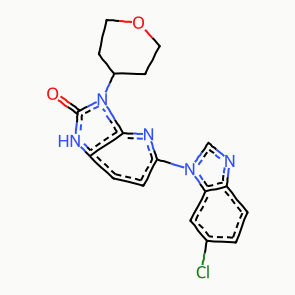 O=c1[nH]c2ccc(-n3cnc4ccc(Cl)cc43)nc2n1C1CCOCC1